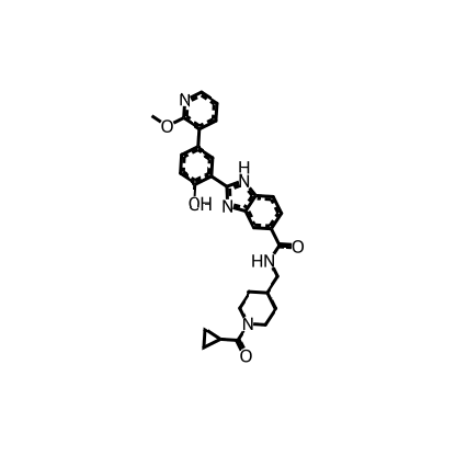 COc1ncccc1-c1ccc(O)c(-c2nc3cc(C(=O)NCC4CCN(C(=O)C5CC5)CC4)ccc3[nH]2)c1